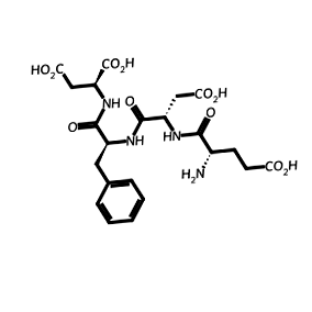 N[C@@H](CCC(=O)O)C(=O)N[C@@H](CC(=O)O)C(=O)N[C@@H](Cc1ccccc1)C(=O)N[C@@H](CC(=O)O)C(=O)O